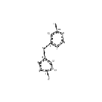 Cc1ccc([CH]c2cccc(C)c2)cc1